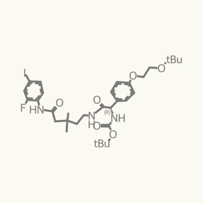 CC(C)(CCNC(=O)[C@H](NC(=O)OC(C)(C)C)c1ccc(OCCOC(C)(C)C)cc1)CC(=O)Nc1ccc(I)cc1F